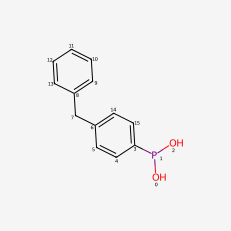 OP(O)c1ccc(Cc2ccccc2)cc1